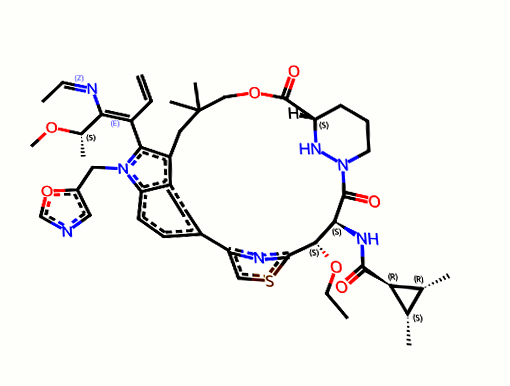 C=C/C(=C(\N=C/C)[C@H](C)OC)c1c2c3cc(ccc3n1Cc1cnco1)-c1csc(n1)[C@@H](OCC)[C@H](NC(=O)[C@H]1[C@H](C)[C@@H]1C)C(=O)N1CCC[C@H](N1)C(=O)OCC(C)(C)C2